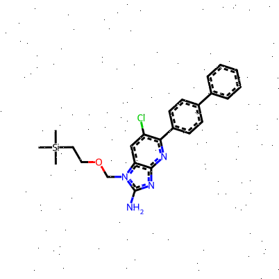 C[Si](C)(C)CCOCn1c(N)nc2nc(-c3ccc(-c4ccccc4)cc3)c(Cl)cc21